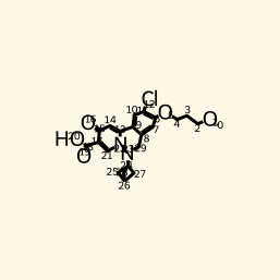 COCCCOc1cc2c(cc1Cl)-c1cc(=O)c(C(=O)O)cn1N(C13CC(C1)C3)C2